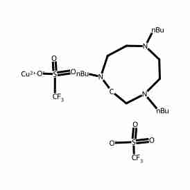 CCCCN1CCN(CCCC)CCN(CCCC)CC1.O=S(=O)([O-])C(F)(F)F.O=S(=O)([O-])C(F)(F)F.[Cu+2]